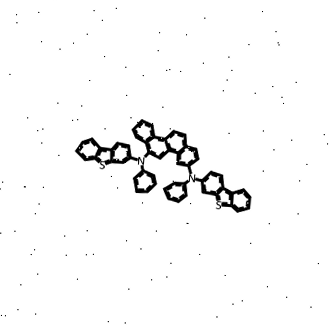 c1ccc(N(c2ccc3c(c2)sc2ccccc23)c2ccc3ccc4c5ccccc5c(N(c5ccccc5)c5ccc6c(c5)sc5ccccc56)cc4c3c2)cc1